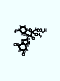 CC1(CC(=O)O)Oc2ccc(F)cc2N(c2nc3cc(Cl)cc(Cl)c3s2)C1=O